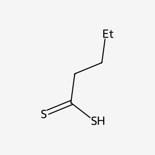 CCCCC(=S)S